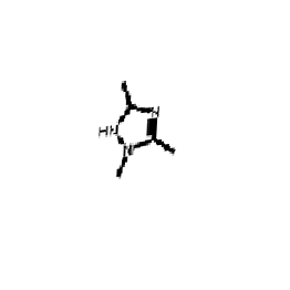 CC1=NC(C)NN1C